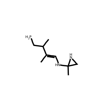 C/C(=C\NC1(C)CN1)C(C)CP